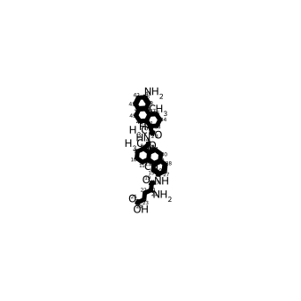 C[C@]1(C(=O)NC(=O)[C@@]2(C)CCC[C@]3(C)c4cc(NC(=O)[C@@H](N)CCC(=O)O)ccc4CC[C@@H]23)CCC[C@]2(C)c3cc(N)ccc3CC[C@@H]12